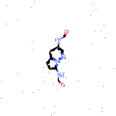 O=CNc1cnn2c(NC=O)ccc2c1